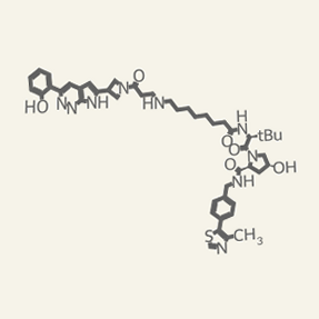 Cc1ncsc1-c1ccc(CNC(=O)[C@@H]2C[C@@H](O)CN2C(=O)[C@@H](NC(=O)CCCCCCCNCCC(=O)N2CC(c3cc4cc(-c5ccccc5O)nnc4[nH]3)C2)C(C)(C)C)cc1